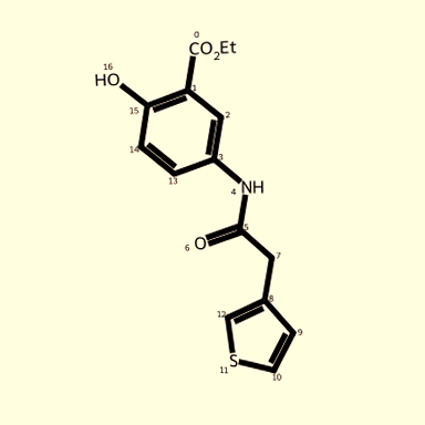 CCOC(=O)c1cc(NC(=O)Cc2ccsc2)ccc1O